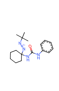 CC(C)(C)/N=N/C1(NC(=O)Nc2ccccc2)CCCCC1